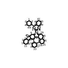 c1ccc(-c2nc(-n3c4cc5sc6ccccc6c5c5c4c4c6c(cccc6ccc43)-c3ccccc3-5)nc3ccccc23)cc1